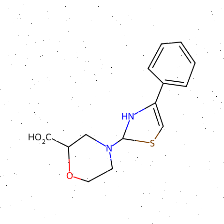 O=C(O)C1CN(C2NC(c3ccccc3)=CS2)CCO1